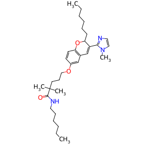 CCCCCCNC(=O)C(C)(C)CCCOc1ccc2c(c1)C=C(c1nccn1C)C(CCCCCC)O2